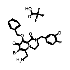 NCc1c(Br)c(=O)c(OCc2ccccc2)c2n1CCN(Cc1ccc(F)c(Cl)c1)C2=O.O=C(O)C(F)(F)F